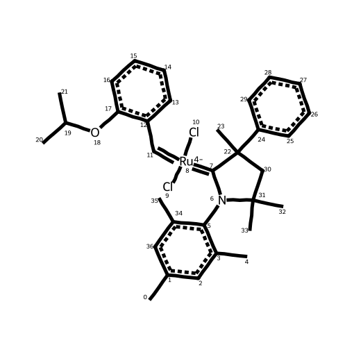 Cc1cc(C)c(N2[C](=[Ru-4]([Cl])([Cl])=[CH]c3ccccc3OC(C)C)C(C)(c3ccccc3)CC2(C)C)c(C)c1